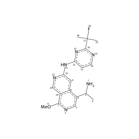 COc1ncc(C(C)N)c2cc(Nc3ccnc(C(C)(C)F)n3)ncc12